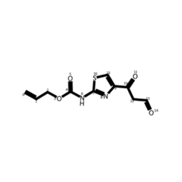 C=CCOC(=O)Nc1nc(C(=O)CC=O)cs1